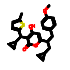 COc1ccc(CC(CC2CC2)c2cc(O)c(C(c3ccc(C)s3)C3CC3)c(=O)o2)cc1